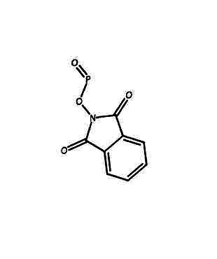 O=PON1C(=O)c2ccccc2C1=O